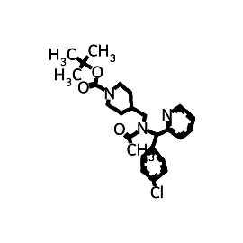 CC(=O)N(CC1CCN(C(=O)OC(C)(C)C)CC1)C(c1ccc(Cl)cc1)c1ccccn1